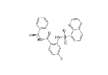 CC[C@H](NC(=O)c1ccc(F)cc1NS(=O)(=O)c1cccc2cccnc12)c1ccccc1